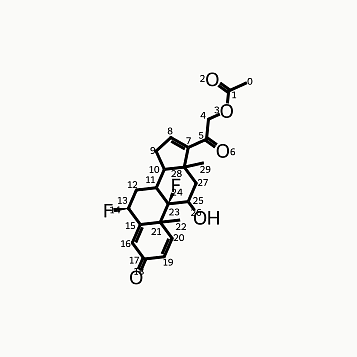 CC(=O)OCC(=O)C1=CCC2C3C[C@H](F)C4=CC(=O)C=CC4(C)[C@@]3(F)C(O)CC12C